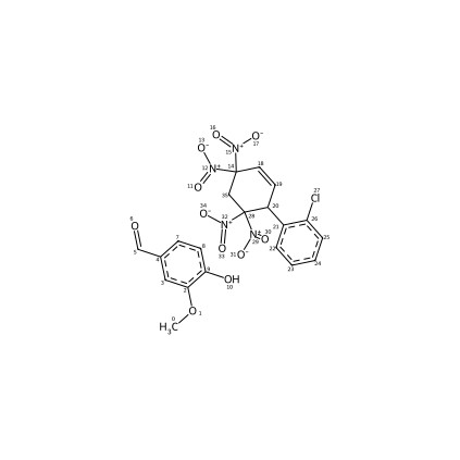 COc1cc(C=O)ccc1O.O=[N+]([O-])C1([N+](=O)[O-])C=CC(c2ccccc2Cl)C([N+](=O)[O-])([N+](=O)[O-])C1